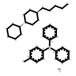 CCCCC[C@H]1CC[C@H](C2CCCCC2)CC1.Cc1ccc(P(c2ccccc2)c2ccccc2)cc1.I